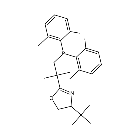 Cc1cccc(C)c1P(CC(C)(C)C1=NC(C(C)(C)C)CO1)c1c(C)cccc1C